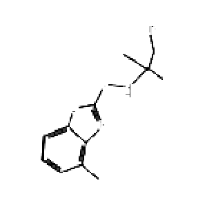 Cc1cccc2sc(SNC(C)(C)CC(C)C)nc12